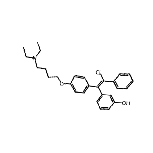 CCN(CC)CCCCOc1ccc(/C(=C(\Cl)c2ccccc2)c2cccc(O)c2)cc1